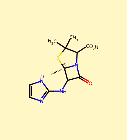 CC1(C)S[C@@H]2C(Nc3ncc[nH]3)C(=O)N2C1C(=O)O